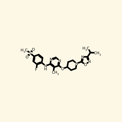 Cc1c(Nc2ccc(S(C)(=O)=O)cc2F)ncnc1OC1CCN(c2nc(C(C)C)no2)CC1